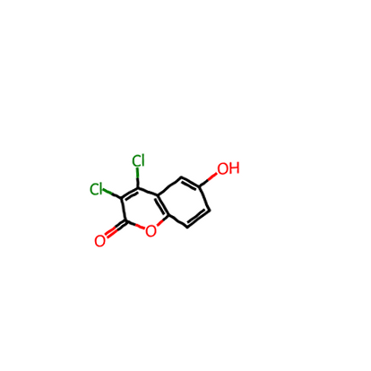 O=c1oc2ccc(O)cc2c(Cl)c1Cl